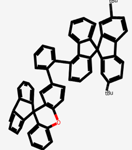 CC(C)(C)c1ccc2c(c1)C1(c3cc(C(C)(C)C)ccc3-2)c2ccccc2-c2c(-c3ccccc3-c3ccc4c(c3)C3(c5ccccc5O4)c4ccccc4-c4ccccc43)cccc21